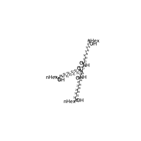 CCCCCCC(O)CCCCCCCCCCC(=O)NCCN(CCNC(=O)CCCCCCCCCCC(O)CCCCCC)C(=O)CCCCCCCCCCC(O)CCCCCC